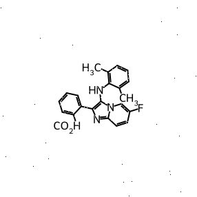 Cc1cccc(C)c1Nc1c(-c2ccccc2C(=O)O)nc2ccc(F)cn12